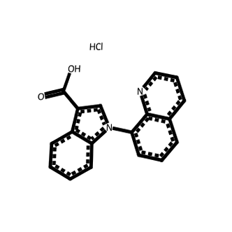 Cl.O=C(O)c1cn(-c2cccc3cccnc23)c2ccccc12